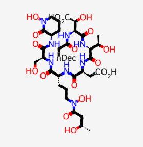 CCCCCCCCCCCC(=O)N[C@H](C(=O)N[C@@H](C(=O)N[C@@H](CC(=O)O)C(=O)N[C@H](CCCN(O)C(=O)C[C@H](C)O)C(=O)N[C@@H](CO)C(=O)N[C@H]1CCCN(O)C1=O)[C@@H](C)O)[C@H](O)C(=O)O